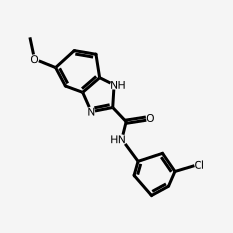 COc1ccc2[nH]c(C(=O)Nc3cccc(Cl)c3)nc2c1